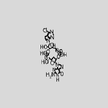 Nc1nc2c(ncn2[C@@H]2O[C@]3(CO)CC2OP(=O)(O)OC[C@H]2O[C@@H](n4ccc5c(Cl)ncnc54)[C@H](O)C2OP(=O)(O)C3)c(=O)[nH]1